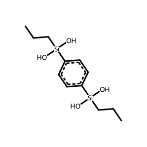 CCC[Si](O)(O)c1ccc([Si](O)(O)CCC)cc1